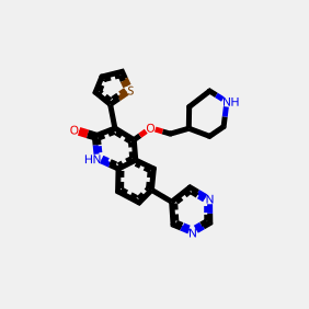 O=c1[nH]c2ccc(-c3cncnc3)cc2c(OCC2CCNCC2)c1-c1cccs1